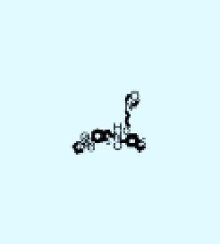 O=C(Nc1cc2ccc(S(=O)(=O)N3CCCC3)cc2s1)c1cc2ccsc2cc1OCCCCN1CCOCC1